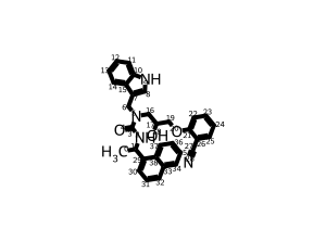 CC(NC(=O)N(Cc1c[nH]c2ccccc12)CC(O)COc1ccccc1C#N)c1cccc2ccccc12